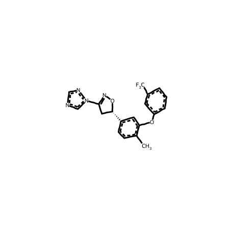 Cc1ccc([C@@H]2CC(n3cncn3)=NO2)cc1Oc1cccc(C(F)(F)F)c1